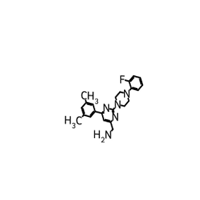 Cc1cc(C)cc(-c2cc(CN)nc(N3CCN(c4ccccc4F)CC3)n2)c1